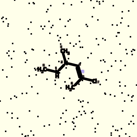 CNN(C)/C=C(\C)Cl